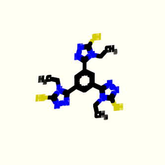 CCn1c(S)nnc1-c1cc(-c2nnc(S)n2CC)cc(-c2nnc(S)n2CC)c1